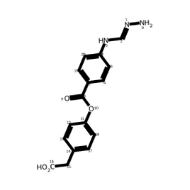 NN=CNc1ccc(C(=O)Oc2ccc(CC(=O)O)cc2)cc1